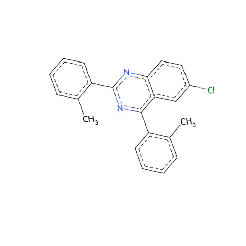 Cc1ccccc1-c1nc(-c2ccccc2C)c2cc(Cl)ccc2n1